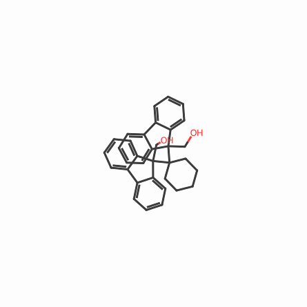 OCC1(C2(C3(CO)c4ccccc4-c4ccccc43)CCCCC2)c2ccccc2-c2ccccc21